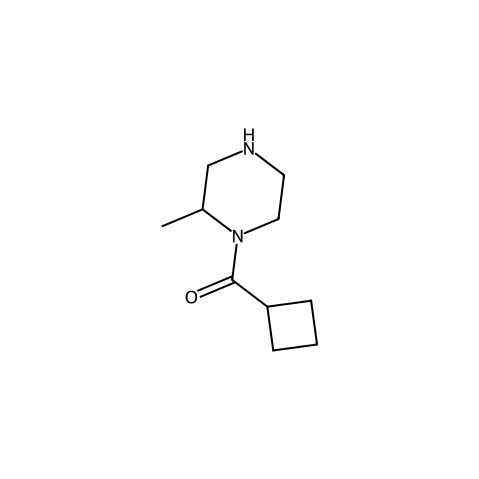 CC1CNCCN1C(=O)C1CCC1